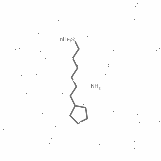 CCCCCCCCCCCCCC1CCCC1.N